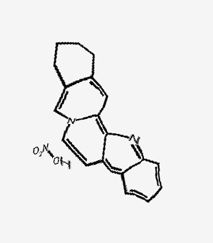 O=[N+]([O-])O.c1ccc2c3ccn4cc5c(cc4c-3nc2c1)CCCC5